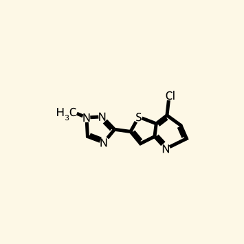 Cn1cnc(-c2cc3nccc(Cl)c3s2)n1